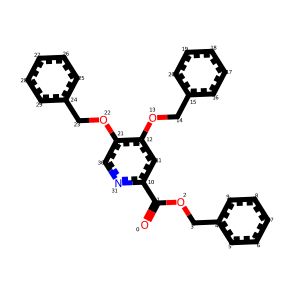 O=C(OCc1ccccc1)c1cc(OCc2ccccc2)c(OCc2ccccc2)cn1